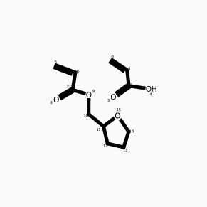 C=CC(=O)O.C=CC(=O)OCC1CCCO1